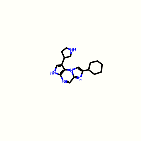 c1[nH]c2ncc3nc(C4CCCCC4)cn3c2c1C1CCNC1